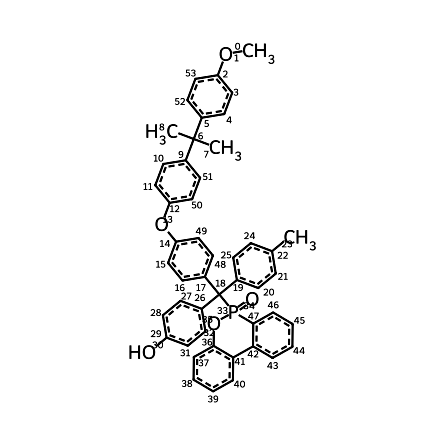 COc1ccc(C(C)(C)c2ccc(Oc3ccc(C(c4ccc(C)cc4)(c4ccc(O)cc4)P4(=O)Oc5ccccc5-c5ccccc54)cc3)cc2)cc1